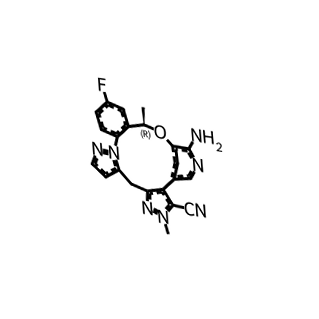 C[C@H]1Oc2cc(cnc2N)-c2c(nn(C)c2C#N)Cc2ccnn2-c2ccc(F)cc21